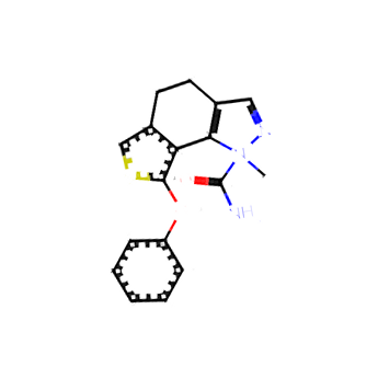 C[N+]1(C(N)=O)N=CC2=C1c1c(csc1Oc1ccccc1)CC2